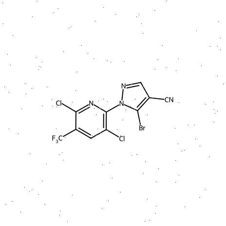 N#Cc1cnn(-c2nc(Cl)c(C(F)(F)F)cc2Cl)c1Br